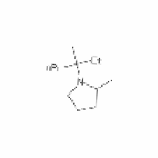 CCCC(C)(CC)N1CCCC1C